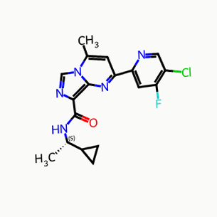 Cc1cc(-c2cc(F)c(Cl)cn2)nc2c(C(=O)N[C@@H](C)C3CC3)ncn12